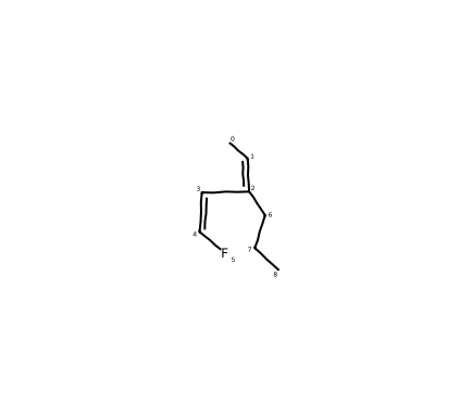 C/C=C(\C=C/F)CCC